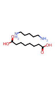 NCCCCCN.O=C(O)CCCCCCC(=O)O